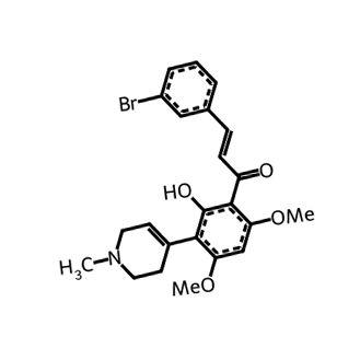 COc1cc(OC)c(C2=CCN(C)CC2)c(O)c1C(=O)/C=C/c1cccc(Br)c1